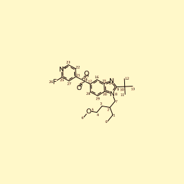 CCC(CCOC)Cn1c(C(C)(C)C)nc2cc(S(=O)(=O)c3ccnc(F)c3)ccc21